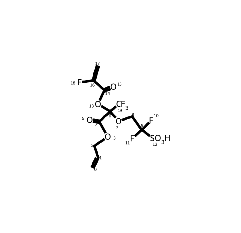 C=CCOC(=O)C(OCC(F)(F)S(=O)(=O)O)(OC(=O)C(=C)F)C(F)(F)F